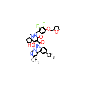 CN1N(Cc2ccc(OCC3CCCO3)c(F)c2F)C(=O)C(C(=O)Nc2ccc(C(F)(F)F)cc2-c2cc(C(F)(F)F)ncn2)=C(O)C12CCCC2